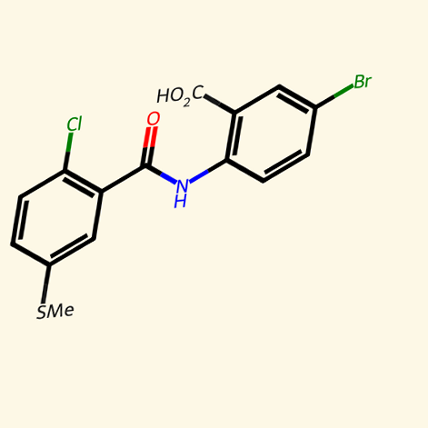 CSc1ccc(Cl)c(C(=O)Nc2ccc(Br)cc2C(=O)O)c1